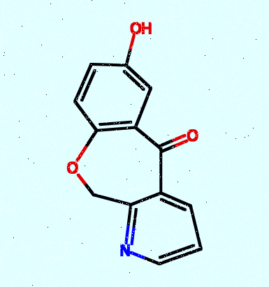 O=C1c2cc(O)ccc2OCc2ncccc21